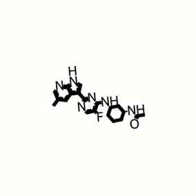 CC(=O)N[C@@H]1CCC[C@H](Nc2nc(-c3c[nH]c4ncc(C)cc34)ncc2F)C1